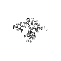 C[C@H]1[C@@H](N2CCN(C(N)=Nc3ccc4c(c3)CN(CCc3ccc(F)cc3F)C4=O)C[C@@H]2C)C[C@@H]2C[C@@H]1C2(C)C